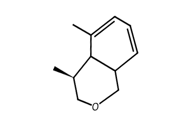 CC1=CC=CC2COC[C@@H](C)C12